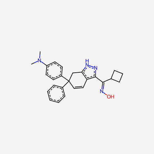 CN(C)c1ccc(C2(c3ccccc3)C=Cc3c(C(=NO)C4CCC4)n[nH]c3C2)cc1